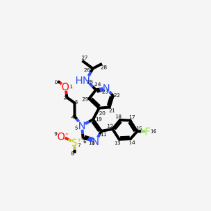 COCCCn1c([S+](C)[O-])nc(-c2ccc(F)cc2)c1-c1ccnc(NC(C)C)c1